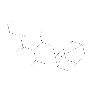 O=C(O)CNC(=O)C1=C(O)OC2(OC1=O)C1CC3CC(C1)CC2C3